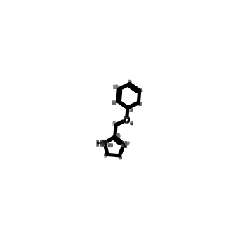 C1=CCC(OCC2=NCCN2)C=C1